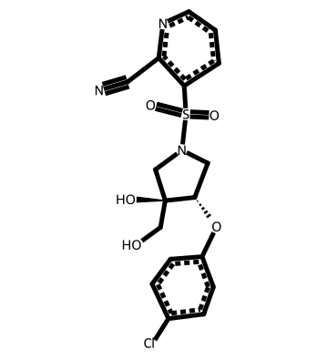 N#Cc1ncccc1S(=O)(=O)N1C[C@H](Oc2ccc(Cl)cc2)[C@](O)(CO)C1